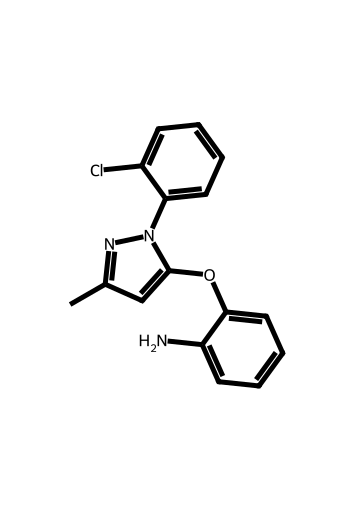 Cc1cc(Oc2ccccc2N)n(-c2ccccc2Cl)n1